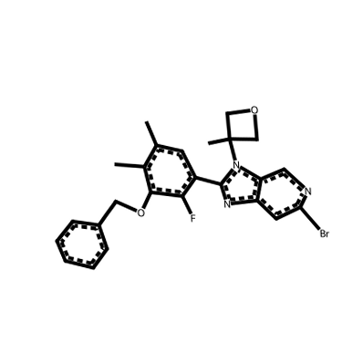 Cc1cc(-c2nc3cc(Br)ncc3n2C2(C)COC2)c(F)c(OCc2ccccc2)c1C